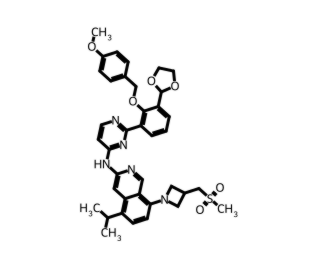 COc1ccc(COc2c(-c3nccc(Nc4cc5c(C(C)C)ccc(N6CC(CS(C)(=O)=O)C6)c5cn4)n3)cccc2C2OCCO2)cc1